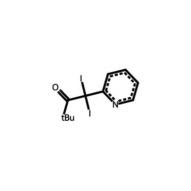 CC(C)(C)C(=O)C(I)(I)c1ccccn1